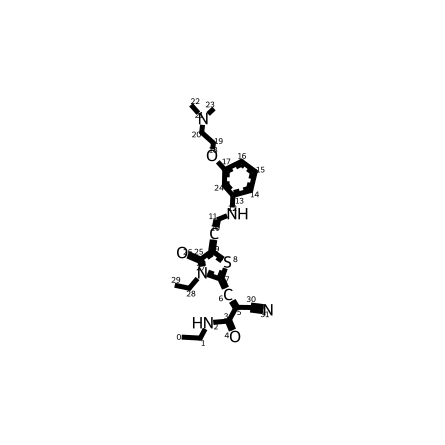 CCNC(=O)C(=C=c1sc(=C=CNc2cccc(OCCN(C)C)c2)c(=O)n1CC)C#N